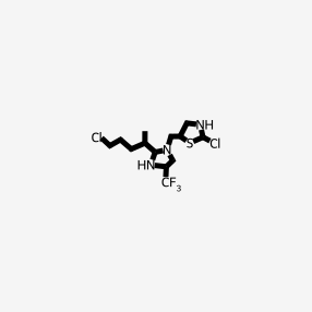 CC(CCCCl)C1NC(C(F)(F)F)CN1CC1CNC(Cl)S1